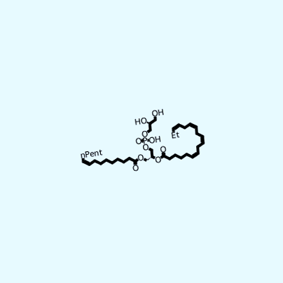 CC/C=C\C/C=C\C/C=C\C/C=C\CCCCC(=O)O[C@H](COC(=O)CCCCCCC/C=C\CCCCC)COP(=O)(O)OC[C@@H](O)CO